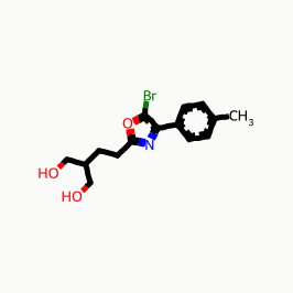 Cc1ccc(-c2nc(CCC(CO)CO)oc2Br)cc1